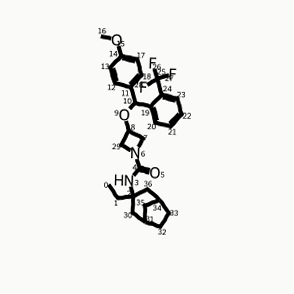 CCC1(NC(=O)N2CC(OC(c3ccc(OC)cc3)c3ccccc3C(F)(F)F)C2)CC2CCC(C2)C1